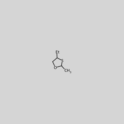 CCC1CO[C](C)S1